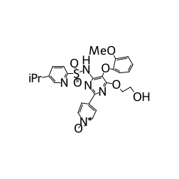 COc1ccccc1Oc1c(NS(=O)(=O)c2ccc(C(C)C)cn2)nc(-c2cc[n+]([O-])cc2)nc1OCCO